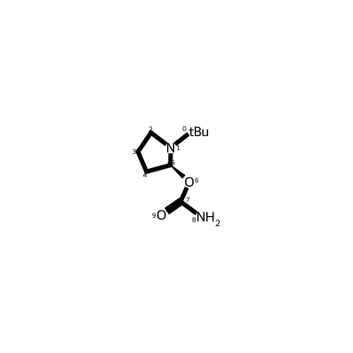 CC(C)(C)N1CCC[C@@H]1OC(N)=O